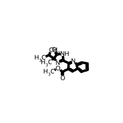 COC(=O)c1cc2ccccc2nc1C1=NC(C)(C(C)C)C(=O)N1